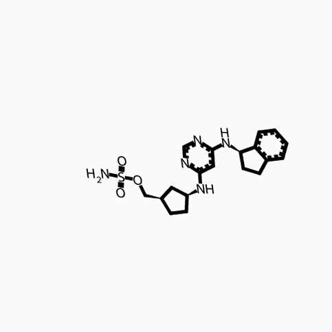 NS(=O)(=O)OC[C@@H]1CC[C@H](Nc2cc(N[C@@H]3CCc4ccccc43)ncn2)C1